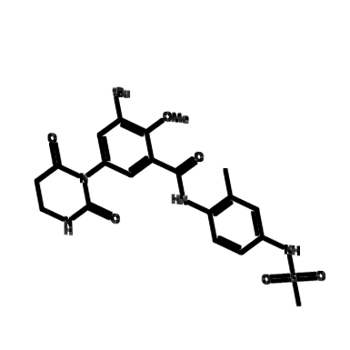 COc1c(C(=O)Nc2ccc(NS(C)(=O)=O)cc2C)cc(N2C(=O)CCNC2=O)cc1C(C)(C)C